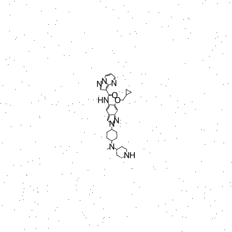 CN(C1CCNCC1)C1CCC(n2cc3cc(NC(=O)c4cnn5cccnc45)c(OCC4CC4)cc3n2)CC1